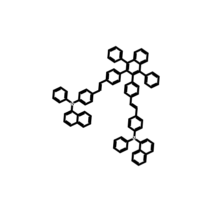 C(=C\c1ccc(N(c2ccccc2)c2cccc3ccccc23)cc1)/c1ccc(-c2c(-c3ccc(/C=C/c4ccc(N(c5ccccc5)c5cccc6ccccc56)cc4)cc3)c(-c3ccccc3)c3ccccc3c2-c2ccccc2)cc1